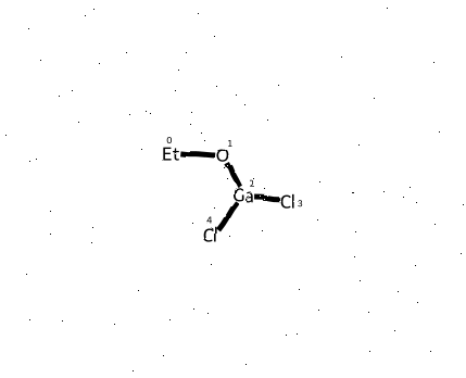 CC[O][Ga]([Cl])[Cl]